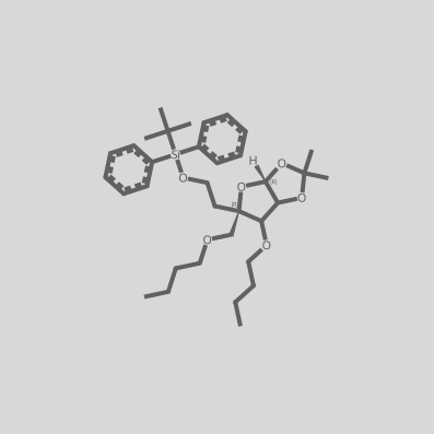 CCCCOC[C@@]1(CCO[Si](c2ccccc2)(c2ccccc2)C(C)(C)C)O[C@@H]2OC(C)(C)OC2C1OCCCC